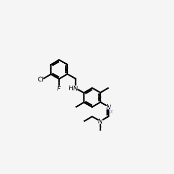 CCN(C)/C=N\c1cc(C)c(NCc2cccc(Cl)c2F)cc1C